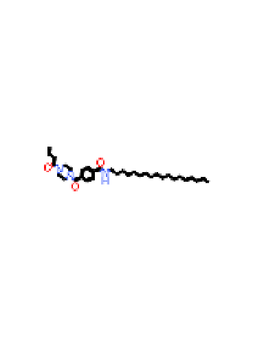 CCCCCCCCCCCCCCCCCCNC(=O)c1ccc(C(=O)N2CCN(C(=O)CCC)CC2)cc1